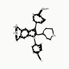 CC(=O)Nc1ccc(-c2c(C3CCOCC3)n(-c3ccc(F)cc3)c3cc4cn[nH]c4cc23)cn1